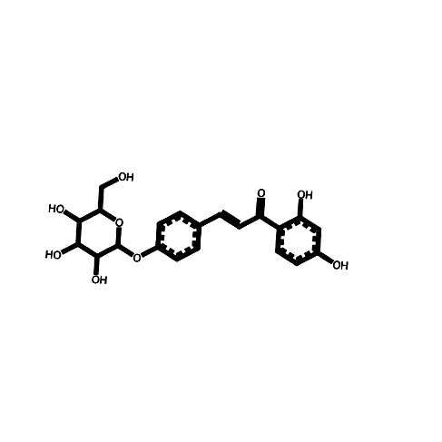 O=C(C=Cc1ccc(OC2OC(CO)C(O)C(O)C2O)cc1)c1ccc(O)cc1O